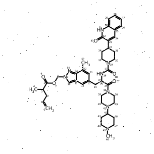 C=CCC(C)C(=O)OCn1cc2cc(C[C@@H](NC(=O)N3CCC(c4cc5ccccc5[nH]c4=O)CC3)C(=O)N3CCN(C4CCN(C)CC4)CC3)cc(C)c2n1